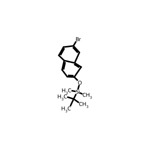 CC(C)(C)[Si](C)(C)Oc1ccc2ccc(Br)cc2c1